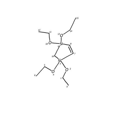 CCO[Si]1(OCC)C=C[Si](OCC)(OCC)C1